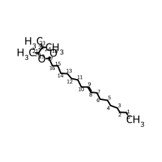 CCCCCCCC/C=C/CCCCCCCC(=O)OC(C)C(C)C